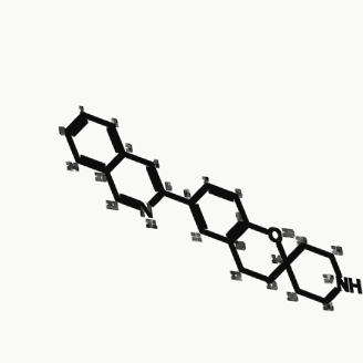 c1ccc2cc(-c3ccc4c(c3)CCC3(CCNCC3)O4)ncc2c1